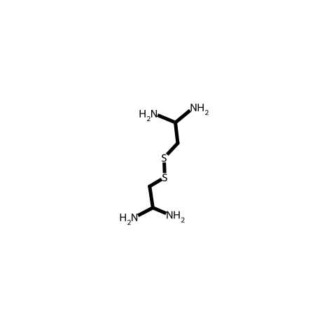 NC(N)CSSCC(N)N